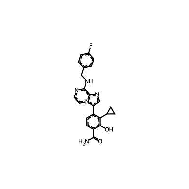 NC(=O)c1ccc(-c2cnc3c(NCc4ccc(F)cc4)nccn23)c(C2CC2)c1O